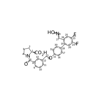 O=C(O)[C@@H]1CCCN1C(=O)c1cccc(COc2ccc(-c3cc(F)c(F)cc3/C=N/O)cc2)c1